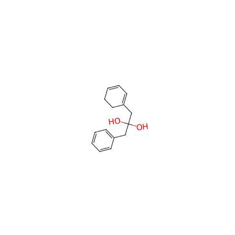 OC(O)(CC1=CC=CCC1)Cc1ccccc1